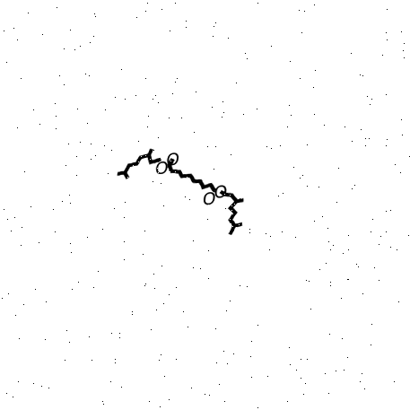 CC(C)CCCC(C)CCOC(=O)CCCCCCCCC(=O)OCCC(C)CCCC(C)C